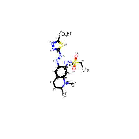 CCOC(=O)c1nnc(N=Nc2cc3c(cc2NS(=O)(=O)CC(F)(F)F)N(C(C)C)C(CC)CC3)s1